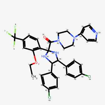 CCOc1cc(C(F)(F)F)ccc1C1(C(=O)N2CCN(c3ccncc3)CC2)NC(c2ccc(Cl)cc2)C(c2ccc(Cl)cc2)N1